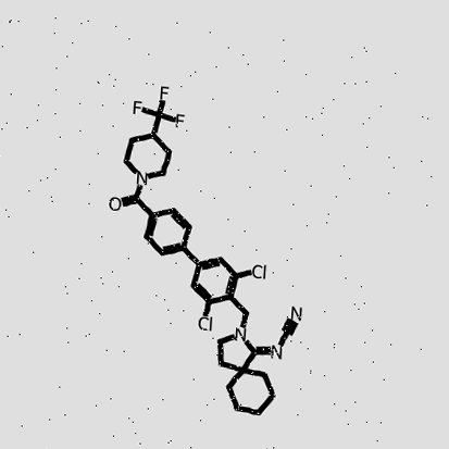 N#CN=C1N(Cc2c(Cl)cc(-c3ccc(C(=O)N4CCC(C(F)(F)F)CC4)cc3)cc2Cl)CCC12CCCCC2